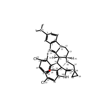 CN(C)c1ccc2c(c1)nc1n2CC[C@H]2[C@@H]1[C@H](c1cccc(Cl)c1F)[C@]1(C(=O)Nc3cc(Cl)ccc31)N2CC1CC1